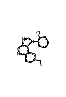 CCc1ccc2ncc3ncn(-c4ccccc4Cl)c3c2c1